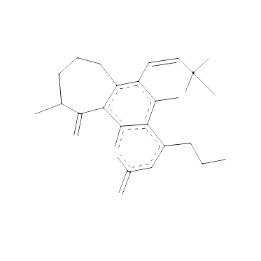 CCCc1cc(=O)oc2c3c(c4c(c12)OC(C)(C)C=C4)CCCC(C)C3=O